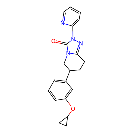 O=c1n(-c2ccccn2)nc2n1CC(c1cccc(OC3CC3)c1)CC2